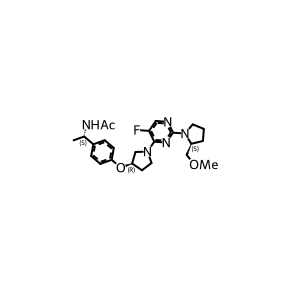 COC[C@@H]1CCCN1c1ncc(F)c(N2CC[C@@H](Oc3ccc([C@H](C)NC(C)=O)cc3)C2)n1